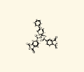 O=C(OC1(OC(=O)c2ccc3c(c2)C(=O)OC3=O)C=CC(c2ccccc2)=CC1)c1ccc2c(c1)C(=O)OC2=O